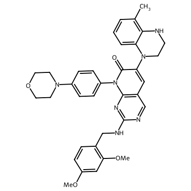 COc1ccc(CNc2ncc3cc(N4CCNc5c(C)cccc54)c(=O)n(-c4ccc(N5CCOCC5)cc4)c3n2)c(OC)c1